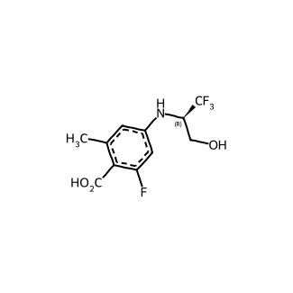 Cc1cc(N[C@H](CO)C(F)(F)F)cc(F)c1C(=O)O